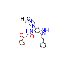 CN1CCN(c2cc3[nH]nc(C=Cc4ccccc4)c3cc2NC(=O)CCC(=O)c2cccs2)CC1